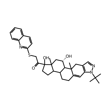 CC12Cc3cnn(C(C)(C)C)c3C=C1CCC1C2[C@@H](O)CC2(C)C1CCC2(O)C(=O)CSc1ccc2ccccc2n1